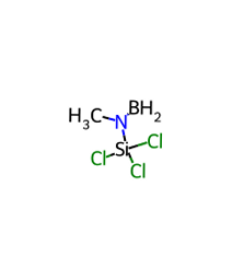 BN(C)[Si](Cl)(Cl)Cl